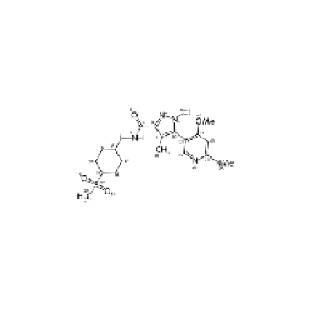 CCn1nc(C(=O)NCC2CCC(S(C)(=O)=O)CC2)c(C)c1-c1cnc(NC)cc1OC